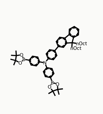 CCCCCCCCC1(CCCCCCCC)c2ccccc2-c2ccc(-c3ccc(N(c4ccc(B5OC(C)(C)C(C)(C)O5)cc4)c4ccc(B5OC(C)(C)C(C)(C)O5)cc4)cc3)cc21